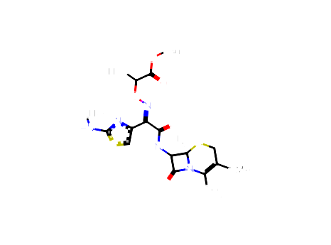 CSC1=C(C(=O)O)N2C(=O)C(NC(=O)/C(=N/OC(C)C(=O)OC(C)(C)C)c3csc(NC=O)n3)[C@H]2SC1